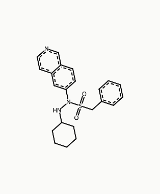 O=S(=O)(Cc1ccccc1)N(NC1CCCCC1)c1ccc2cnccc2c1